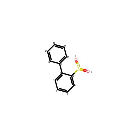 O=[SH](=O)c1ccccc1-c1ccccc1